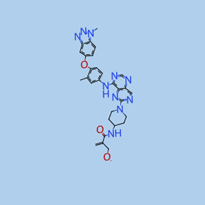 C=C(COC)C(=O)NC1CCN(c2ncc3ncnc(Nc4ccc(Oc5ccc6c(c5)nnn6C)c(C)c4)c3n2)CC1